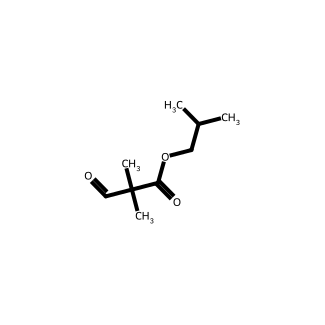 CC(C)COC(=O)C(C)(C)C=O